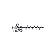 CCCCCCCCCCCC/C=C/C(C(=O)O)C(=O)O